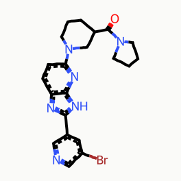 O=C(C1CCCN(c2ccc3nc(-c4cncc(Br)c4)[nH]c3n2)C1)N1CCCC1